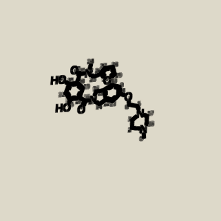 CN1CCN(CCOc2ccc3c(c2)CN(C(=O)c2cc(C(=O)N(C)Cc4ccco4)c(O)cc2O)C3)CC1